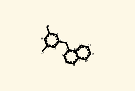 Cc1[c]c(Cc2cccc3ccccc23)cc(C)c1